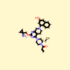 C=CC(=O)N1CCN(c2nc(OCC3(N)CC3)nc3c2CCN(c2cc(O)cc4ccccc24)C3)C[C@@H]1CC#N